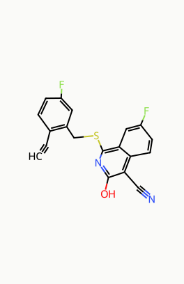 C#Cc1ccc(F)cc1CSc1nc(O)c(C#N)c2ccc(F)cc12